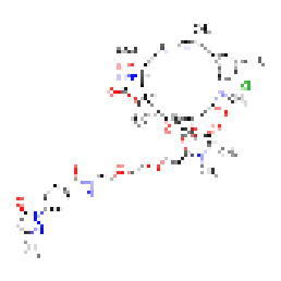 CO[C@@H]1/C=C/C=C(\C)Cc2cc(C)c(Cl)c(c2)N(C)C(=O)C[C@H](OC(=O)[C@H](C)N(C)C(=O)CCOCCOCCNC(=O)c2ccc(N3N=C(C)CC3=O)cc2)[C@]2(C)OC2[C@H](C)[C@@H]2C[C@@]1(O)NC(=O)O2